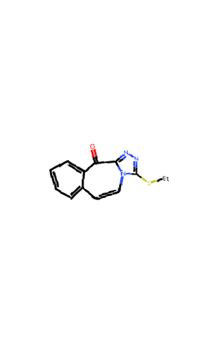 CCSc1nnc2c(=O)c3ccccc3ccn12